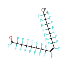 O=C(F)C(F)(F)C(F)(F)C(F)(F)C(F)(F)C(F)(F)C(F)(F)C(F)(F)/C(F)=C(/F)C(F)(F)C(F)(F)C(F)(F)C(F)(F)C(F)(F)C(F)(F)C(F)(F)C(F)(F)F